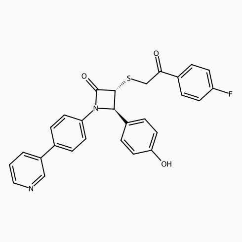 O=C(CS[C@H]1C(=O)N(c2ccc(-c3cccnc3)cc2)[C@@H]1c1ccc(O)cc1)c1ccc(F)cc1